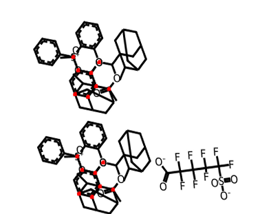 CC(=O)OC(Oc1ccccc1[S+](c1ccccc1)c1ccccc1OC(OC(C)=O)C12CC3CC(CC(C3)C1C)C2)C12CC3CC(CC(C3)C1C)C2.CC(=O)OC(Oc1ccccc1[S+](c1ccccc1)c1ccccc1OC(OC(C)=O)C12CC3CC(CC(C3)C1C)C2)C12CC3CC(CC(C3)C1C)C2.O=C([O-])C(F)(F)C(F)(F)C(F)(F)C(F)(F)S(=O)(=O)[O-]